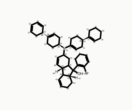 OC1(C2=C(Br)C=CCC2)C2CC(N(C3=CC[C@H](C4=CCCCC4)CC3)[C@@H]3CC=C([C@H]4C=CC=CC4)CC3)C=C[C@H]2C2C=CCC[C@H]21